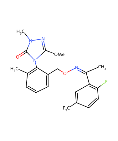 COc1nn(C)c(=O)n1-c1c(C)cccc1CO/N=C(/C)c1cc(C(F)(F)F)ccc1F